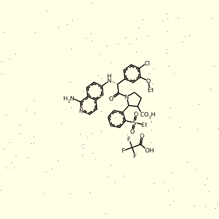 CCOc1cc([C@@H](Nc2ccc3c(N)nccc3c2)C(=O)N2CCC(C(=O)O)C2c2ccccc2S(=O)(=O)CC)ccc1Cl.O=C(O)C(F)(F)F